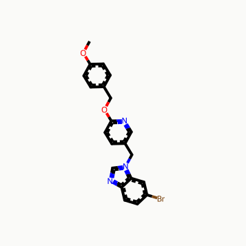 COc1ccc(COc2ccc(Cn3cnc4ccc(Br)cc43)cn2)cc1